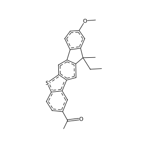 CCC1(C)c2cc(OC)ccc2-c2cc3sc4ccc(C(C)=O)cc4c3cc21